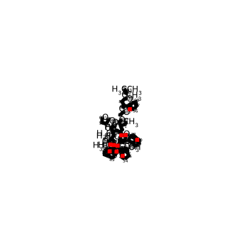 CCC(C)(CC(C)(CC(C)(CC(C)(CC(C)(CC1C2CCC(C2)C1C)C(=O)OC1(C(C)C)C2CC3CC(C2)CC1C3)C(=O)OC1(C)C2CC3CC(C2)CC1C3)C(=O)OC1CCOC1=O)C(=O)OC12CC3CC(CC(O)(C3)C1)C2)C(=O)OCC(=O)OC(CC(=O)OC(C)(C)C)C1CC2C=CC1C2